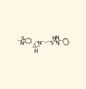 Cc1nc2cc([C@@]34C[C@@H]3CN(CCCSc3nnc(-c5ccccc5)n3C)C4)ccc2s1